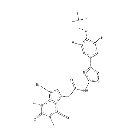 Cn1c(=O)c2c(c(Br)cn2CC(=O)Nc2nc(-c3cc(F)c(OCC(C)(C)C)c(F)c3)cs2)n(C)c1=O